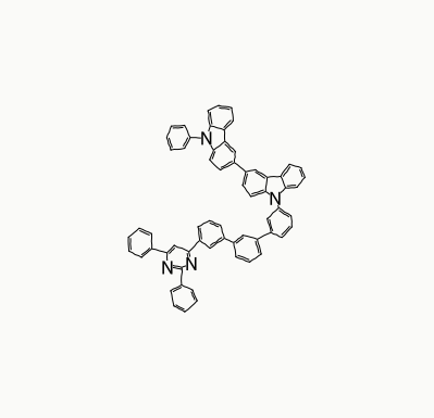 c1ccc(-c2cc(-c3cccc(-c4cccc(-c5cccc(-n6c7ccccc7c7cc(-c8ccc9c(c8)c8ccccc8n9-c8ccccc8)ccc76)c5)c4)c3)nc(-c3ccccc3)n2)cc1